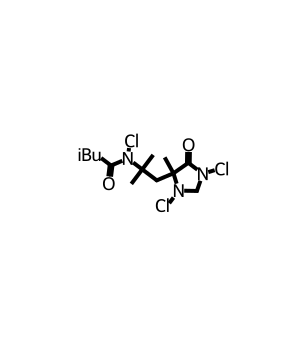 CCC(C)C(=O)N(Cl)C(C)(C)CC1(C)C(=O)N(Cl)CN1Cl